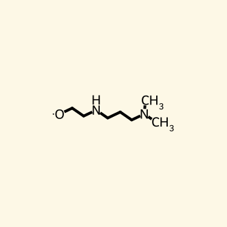 CN(C)CCCNCC[O]